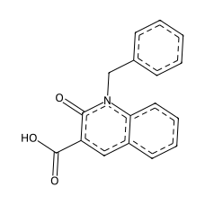 O=C(O)c1cc2ccccc2n(Cc2ccccc2)c1=O